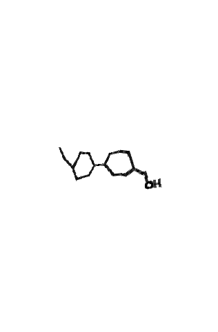 CCC1CCC(C2CCC(CO)CC2)CC1